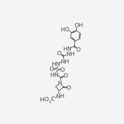 O=C(O)N[C@H]1CN(C(=O)NS(=O)(=O)NNC(=O)NNC(=O)c2ccc(O)c(O)c2)C1=O